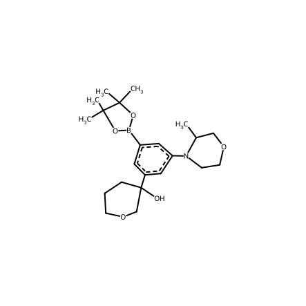 CC1COCCN1c1cc(B2OC(C)(C)C(C)(C)O2)cc(C2(O)CCCOC2)c1